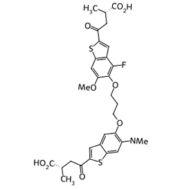 CNc1cc2sc(C(=O)C[C@H](C)C(=O)O)cc2cc1OCCCOc1c(OC)cc2sc(C(=O)C[C@H](C)C(=O)O)cc2c1F